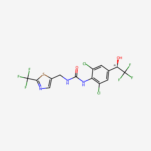 O=C(NCc1cnc(C(F)(F)F)s1)Nc1c(Cl)cc([C@@H](O)C(F)(F)F)cc1Cl